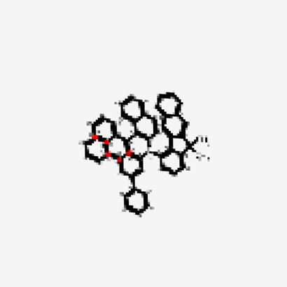 CC1(C)c2cc3ccccc3cc2-c2c(N(c3cc(-c4ccccc4)cc(-c4ccccc4)c3)c3ccc4ccccc4c3-c3cccc4ccccc34)cccc21